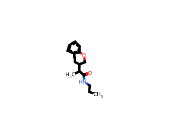 CCCNC(=O)C(C)C1COc2ccccc2C1